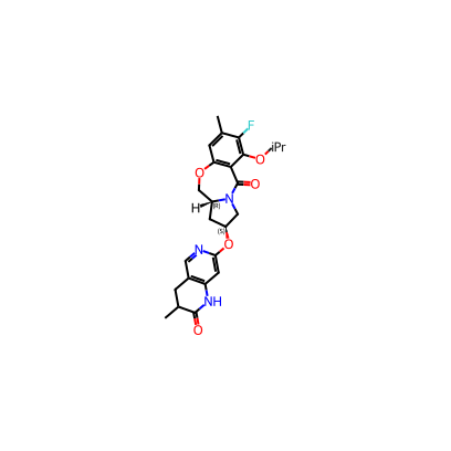 Cc1cc2c(c(OC(C)C)c1F)C(=O)N1C[C@@H](Oc3cc4c(cn3)CC(C)C(=O)N4)C[C@@H]1CO2